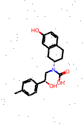 Cc1ccc([C@H](O)CN(C(=O)O)[C@H]2CCc3ccc(O)cc3C2)cc1